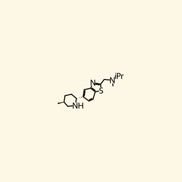 CC(C)N(C)Cc1nc2cc([C@H]3CC[C@H](C)CN3)ccc2s1